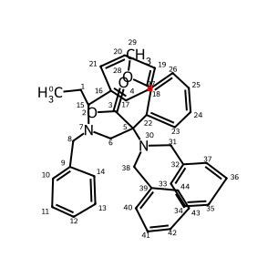 CCOC(=O)C(CN(Cc1ccccc1)Cc1ccccc1)(c1ccccc1OC)N(Cc1ccccc1)Cc1ccccc1